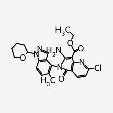 CCOC(=O)c1c(N)n(-c2c(C)ccc3c2cnn3C2CCCCO2)c(=O)c2ccc(Cl)nc12